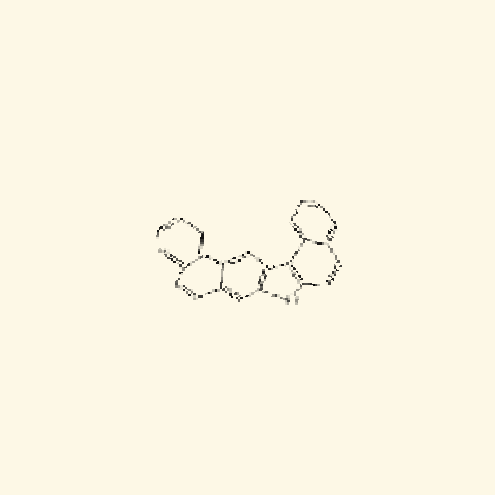 c1ccc2c(c1)ccc1cc3[nH]c4ccc5ccccc5c4c3cc12